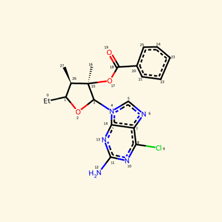 CCC1OC(n2cnc3c(Cl)nc(N)nc32)[C@](C)(OC(=O)c2ccccc2)[C@@H]1C